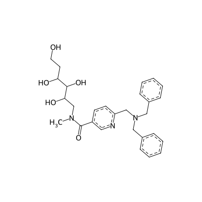 CN(CC(O)C(O)C(O)CCO)C(=O)c1ccc(CN(Cc2ccccc2)Cc2ccccc2)nc1